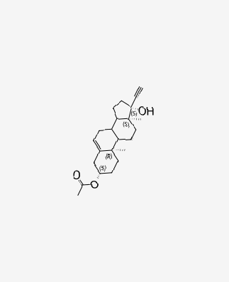 C#C[C@]1(O)CCC2C3CC=C4C[C@@H](OC(C)=O)CC[C@]4(C)C3CC[C@@]21C